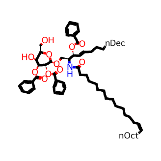 CCCCCCCC/C=C\CCCCCCCCCCCCCC(=O)N[C@@H](CO[C@@H]1O[C@H](CO)[C@H](O)[C@H](OC(=O)c2ccccc2)[C@H]1OC(=O)c1ccccc1)[C@@H](/C=C/CCCCCCCCCCCCC)OC(=O)c1ccccc1